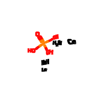 O=P(O)(O)O.[Ce].[La].[NaH].[SrH2]